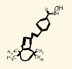 CC1(C)CCC(C)(C)c2cc(C=Cc3ccc(C(=O)NO)cc3)ccc21